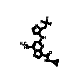 CNc1cc(Nc2ccnn2CC(F)(F)F)nc2c(C(=O)NC3CC3)cnn12